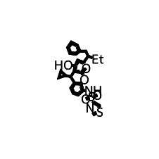 CCC(Cc1ccccc1)c1cc(O)c(C(c2cccc(NS(=O)(=O)c3cscn3)c2)C2CC2)c(=O)o1